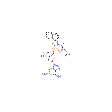 CNc1nc(N)nc2c1ncn2[C@@H]1O[C@](CCl)(COP(=S)(N[C@@H](C)C(=O)OC(C)C)Oc2cccc3ccccc23)[C@@H](O)[C@H]1F